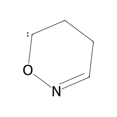 [C]1CCC=NO1